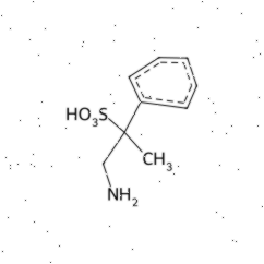 CC(CN)(c1ccccc1)S(=O)(=O)O